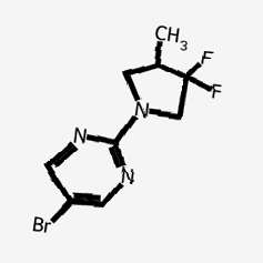 CC1CN(c2ncc(Br)cn2)CC1(F)F